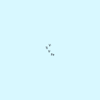 [Fe].[Ti].[V].[V]